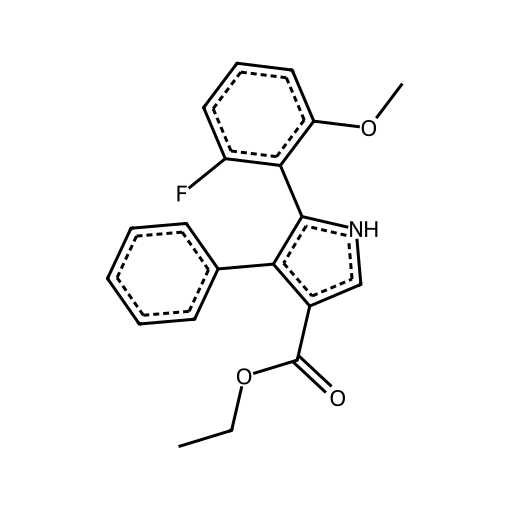 CCOC(=O)c1c[nH]c(-c2c(F)cccc2OC)c1-c1ccccc1